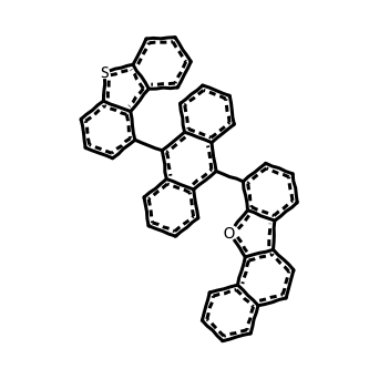 c1ccc2c(c1)ccc1c3cccc(-c4c5ccccc5c(-c5cccc6sc7ccccc7c56)c5ccccc45)c3oc21